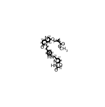 COC(=O)C1CC1COc1cnc2ccc(=O)n(CCC34CCC(NCc5ccc6c(n5)NC(=O)CO6)(CC3)CO4)c2c1